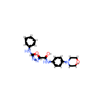 O=C(Nc1ccc(N2CCOCC2)cc1)c1nnc(Nc2ccccc2)o1